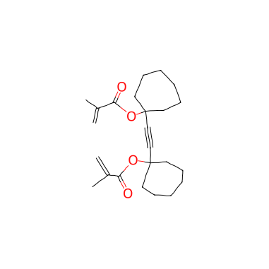 C=C(C)C(=O)OC1(C#CC2(OC(=O)C(=C)C)CCCCCC2)CCCCCC1